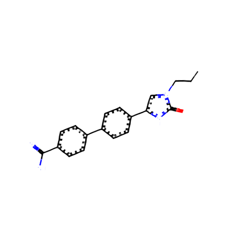 Cl.N=C(N)c1ccc(-c2ccc(-c3cn(CCC(=O)O)c(=O)[nH]3)cc2)cc1